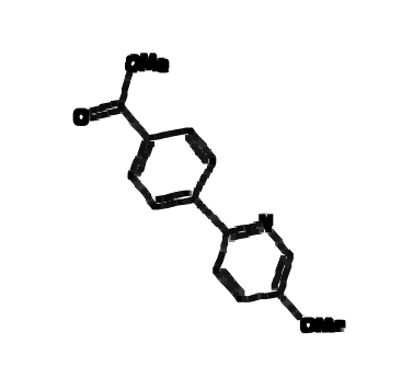 COC(=O)c1ccc(-c2ccc(OC)cn2)cc1